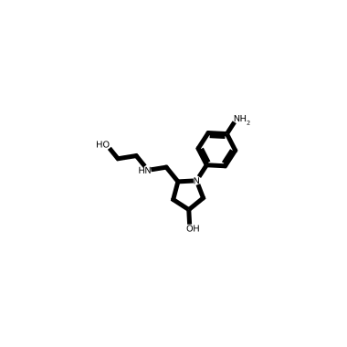 Nc1ccc(N2CC(O)CC2CNCCO)cc1